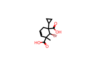 CC1(C(=O)O)C=CCC(C(=O)O)(C2CC2)C1Br